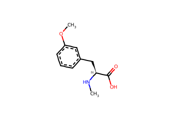 CN[C@@H](Cc1cccc(OC)c1)C(=O)O